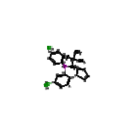 C[Si](C)(C)[Zr+3]([C]1=CC=CC1)[P](c1ccccc1)c1ccccc1.[Cl-].[Cl-].[Cl-]